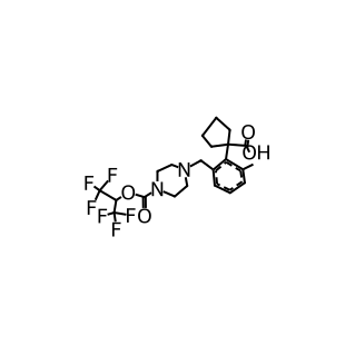 Cc1cccc(CN2CCN(C(=O)OC(C(F)(F)F)C(F)(F)F)CC2)c1C1(C(=O)O)CCCC1